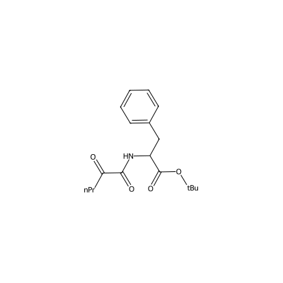 CCCC(=O)C(=O)NC(Cc1ccccc1)C(=O)OC(C)(C)C